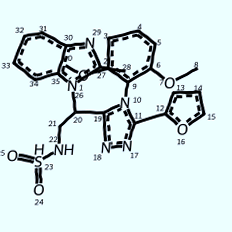 COc1cccc(OC)c1-n1c(-c2ccco2)nnc1C(CN[SH](=O)=O)n1c(C)nc2ccccc21